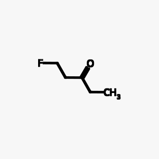 CCC(=O)CCF